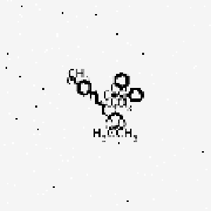 COc1ccc(CCC(=O)C[C@@H]2OC(C)(C)OC[C@H]2CO[Si](c2ccccc2)(c2ccccc2)C(C)(C)C)cc1